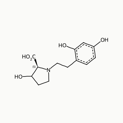 O=C(O)[C@@H]1C(O)CCN1CCc1ccc(O)cc1O